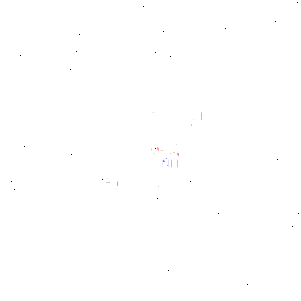 Cc1cc(C(C)(C)C)ccc1NS(=O)(=O)c1cc(Cl)cc(Cl)c1